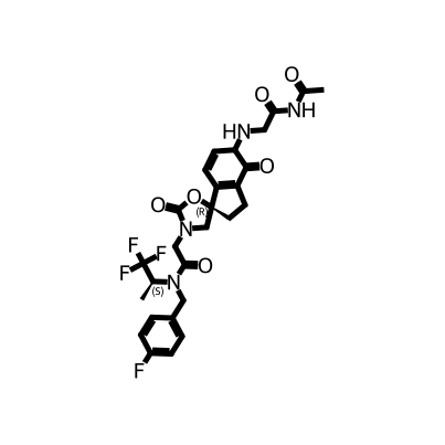 CC(=O)NC(=O)CNC1C=CC2=C(CC[C@]23CN(CC(=O)N(Cc2ccc(F)cc2)[C@@H](C)C(F)(F)F)C(=O)O3)C1=O